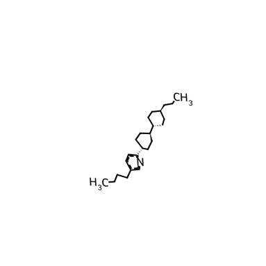 CCCCc1ccc([C@H]2CC[C@H]([C@H]3CC[C@H](CCC)CC3)CC2)nc1